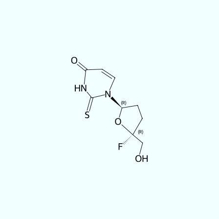 O=c1ccn([C@H]2CC[C@@](F)(CO)O2)c(=S)[nH]1